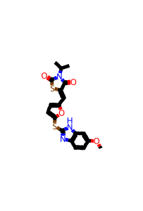 COc1ccc2nc(Sc3ccc(/C=C4\SC(=O)N(C(C)C)C4=O)o3)[nH]c2c1